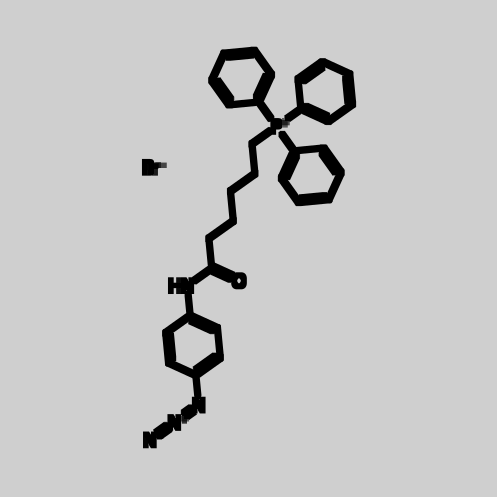 [Br-].[N-]=[N+]=Nc1ccc(NC(=O)CCCCC[P+](c2ccccc2)(c2ccccc2)c2ccccc2)cc1